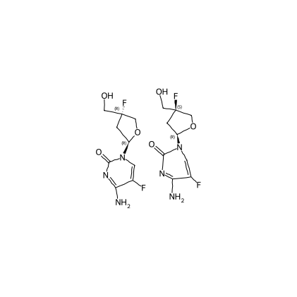 Nc1nc(=O)n([C@H]2C[C@@](F)(CO)CO2)cc1F.Nc1nc(=O)n([C@H]2C[C@](F)(CO)CO2)cc1F